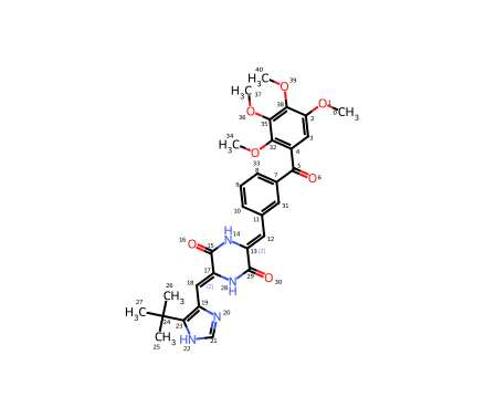 COc1cc(C(=O)c2cccc(/C=c3\[nH]c(=O)/c(=C/c4nc[nH]c4C(C)(C)C)[nH]c3=O)c2)c(OC)c(OC)c1OC